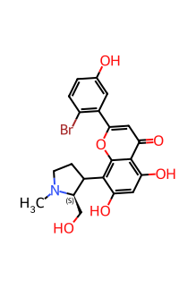 CN1CCC(c2c(O)cc(O)c3c(=O)cc(-c4cc(O)ccc4Br)oc23)[C@H]1CO